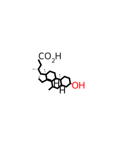 CC1C[C@@H]2C[C@H](O)CC[C@]2(C)[C@H]2CC[C@@]3(C)C(=C12)CC[C@@H]3[C@H](C)CCC(=O)O